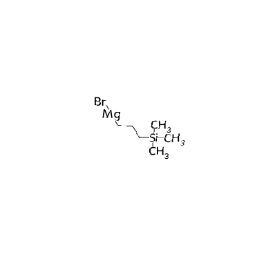 C[Si](C)(C)CC[CH2][Mg][Br]